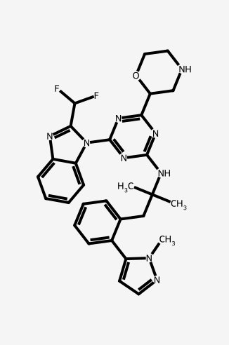 Cn1nccc1-c1ccccc1CC(C)(C)Nc1nc(C2CNCCO2)nc(-n2c(C(F)F)nc3ccccc32)n1